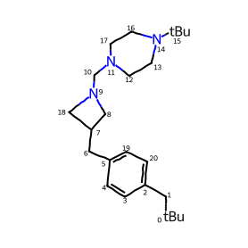 CC(C)(C)Cc1ccc(CC2CN(CN3CCN(C(C)(C)C)CC3)C2)cc1